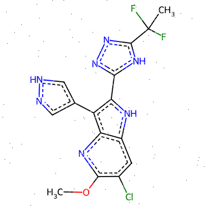 COc1nc2c(-c3cn[nH]c3)c(-c3nnc(C(C)(F)F)[nH]3)[nH]c2cc1Cl